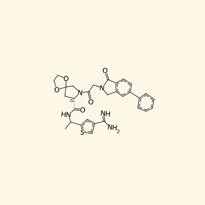 CC(NC(=O)[C@@H]1CC2(CN1C(=O)CN1Cc3cc(-c4ccccc4)ccc3C1=O)OCCO2)c1cc(C(=N)N)cs1